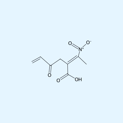 C=CC(=O)CC(C(=O)O)=C(C)[N+](=O)[O-]